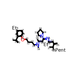 C=C(C)c1cc(CC)ccc1OCCCCN(C)/C(C)=C/C(=N\C(=C\C(=C)C(C)CCCCC)CC)N1CCCC1